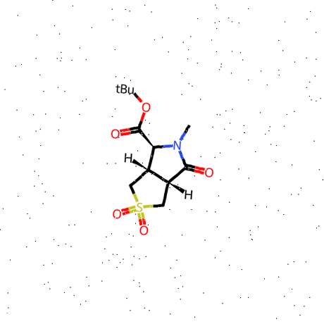 CN1C(=O)[C@@H]2CS(=O)(=O)C[C@@H]2[C@H]1C(=O)OC(C)(C)C